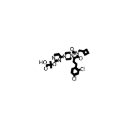 CC(C)(Oc1nccc(N2CC[N+]3(CC2)C(=O)N(CC2CCC2)C(=O)C3CCc2ccc(Cl)cc2Cl)n1)C(=O)O